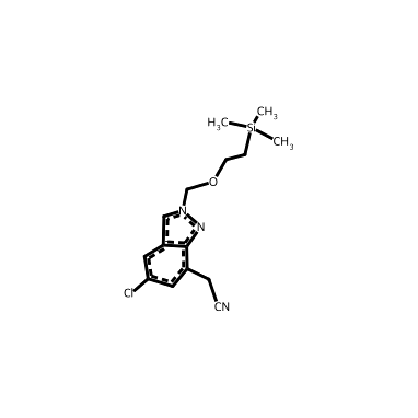 C[Si](C)(C)CCOCn1cc2cc(Cl)cc(CC#N)c2n1